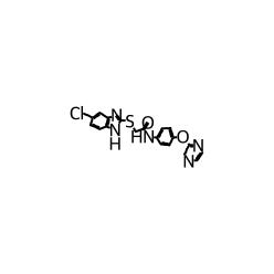 O=C(CSc1nc2cc(Cl)ccc2[nH]1)Nc1ccc(Oc2cnccn2)cc1